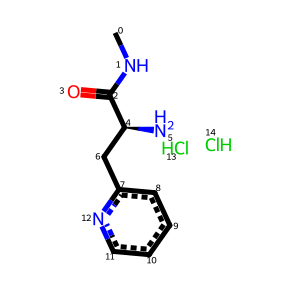 CNC(=O)[C@@H](N)Cc1ccccn1.Cl.Cl